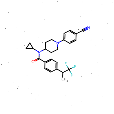 CC(c1ccc(C(=O)N(C2CC2)C2CCN(c3ccc(C#N)cc3)CC2)cc1)C(F)(F)F